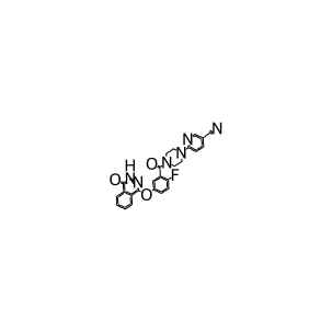 N#Cc1ccc(N2CCN(C(=O)c3cc(Oc4n[nH]c(=O)c5ccccc45)ccc3F)CC2)nc1